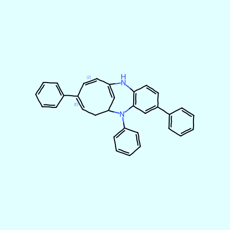 C1=C2/C=C\C(c3ccccc3)=C/CC1N(c1ccccc1)c1cc(-c3ccccc3)ccc1N2